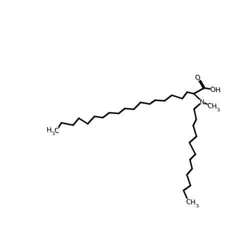 CCCCCCCCCCCCCCCCCCC(C(=O)O)N(C)CCCCCCCCCCCC